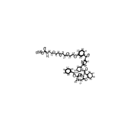 C[C@@H](C(=O)N[C@H](C(=O)N1CCC[C@H]1c1nc(C(=O)c2cccc(OCCOCCOCCOCCNC(=O)OC(C)(C)C)c2)cs1)C1CCCCC1)N(C)C(=O)OCc1ccccc1